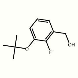 CC(C)(C)Oc1cccc([CH]O)c1F